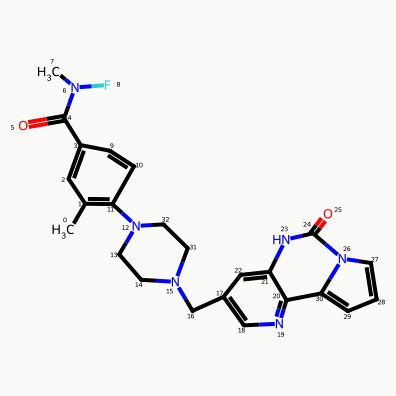 Cc1cc(C(=O)N(C)F)ccc1N1CCN(Cc2cnc3c(c2)[nH]c(=O)n2cccc32)CC1